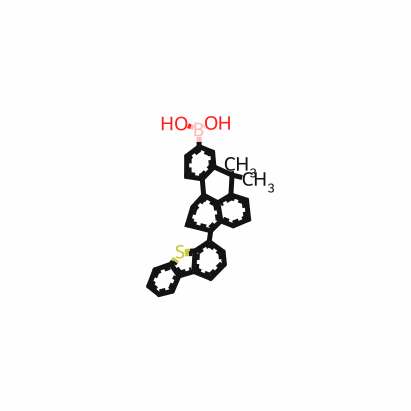 CC1(C)c2cc(B(O)O)ccc2-c2ccc(-c3cccc4c3sc3ccccc34)c3cccc1c23